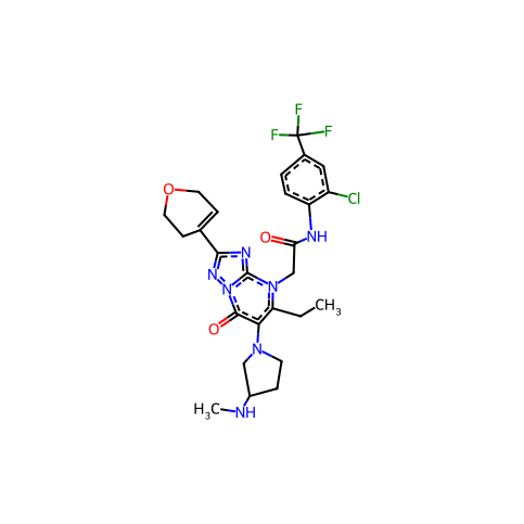 CCc1c(N2CCC(NC)C2)c(=O)n2nc(C3=CCOCC3)nc2n1CC(=O)Nc1ccc(C(F)(F)F)cc1Cl